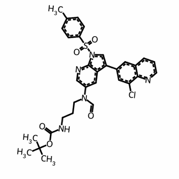 Cc1ccc(S(=O)(=O)n2cc(-c3cc(Cl)c4ncccc4c3)c3cc(N(C=O)CCCNC(=O)OC(C)(C)C)cnc32)cc1